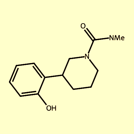 CNC(=O)N1CCCC(c2ccccc2O)C1